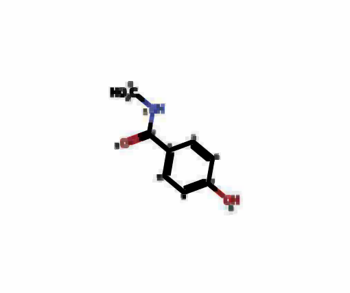 O=C(O)NC(=O)c1ccc(O)cc1